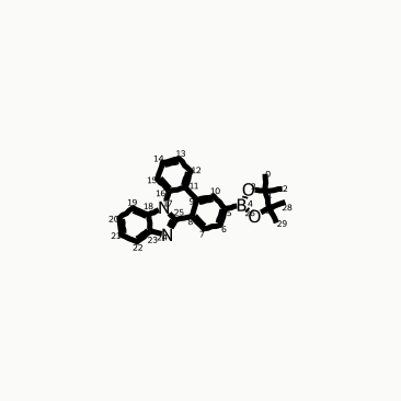 CC1(C)OB(c2ccc3c(c2)c2ccccc2n2c4ccccc4nc32)OC1(C)C